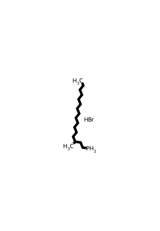 Br.CCCCCCCCCCCCCC(C)CCP